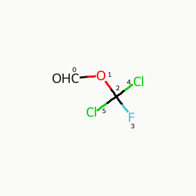 O=COC(F)(Cl)Cl